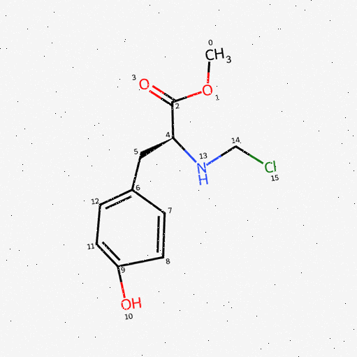 COC(=O)[C@H](Cc1ccc(O)cc1)NCCl